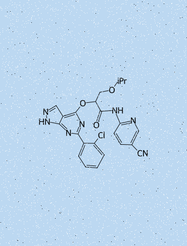 CC(C)OCC(Oc1nc(-c2ccccc2Cl)nc2[nH]ncc12)C(=O)Nc1ccc(C#N)cn1